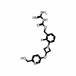 N=C(N)NC(=O)OCc1cccc(N2CC(Oc3ccc(CO)nc3)C2)c1F